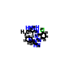 Cc1cc(Nc2nc(NC3CC4CCC(C3)N4CCC#N)nc3cccc(Cl)c23)n[nH]1